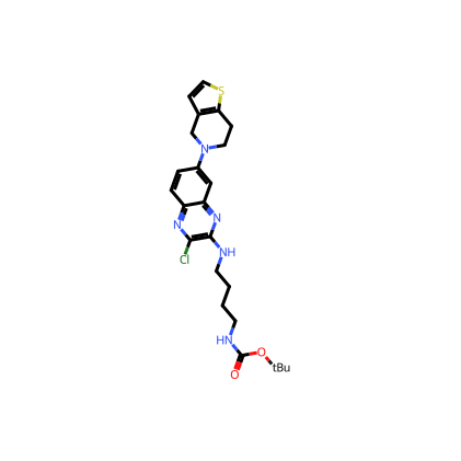 CC(C)(C)OC(=O)NCCCCNc1nc2cc(N3CCc4sccc4C3)ccc2nc1Cl